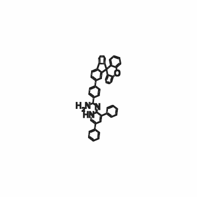 NC(/N=c1\[nH]cc(-c2ccccc2)cc1-c1ccccc1)c1ccc(-c2ccc3c(c2)C2(c4ccccc4Oc4ccccc42)c2ccccc2-3)cc1